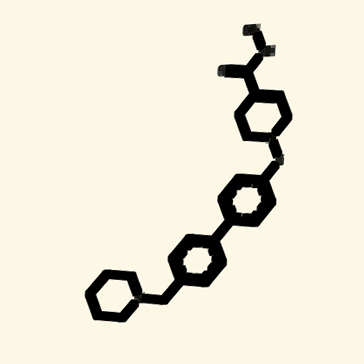 O=NNC(=O)C1=CCN(Sc2ccc(-c3ccc(CN4CCCCC4)cc3)cc2)CC1